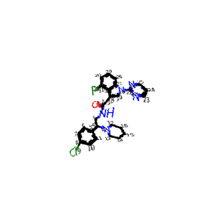 O=C(NCC(c1ccc(Cl)cc1)N1CCCCC1)c1cn(-c2ncccn2)c2cccc(F)c12